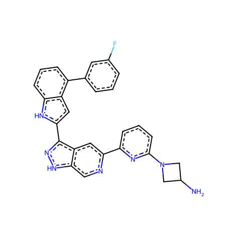 NC1CN(c2cccc(-c3cc4c(-c5cc6c(-c7cccc(F)c7)cccc6[nH]5)n[nH]c4cn3)n2)C1